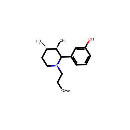 COCCN1CC[C@H](C)[C@@H](C)C1c1cccc(O)c1